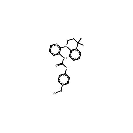 CC1(C)CCN(c2ncccc2NC(=O)Nc2ccc(OC(F)(F)F)cc2)c2ccccc21